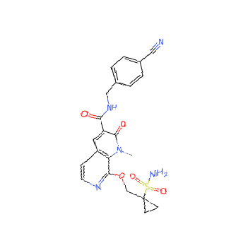 Cn1c(=O)c(C(=O)NCc2ccc(C#N)cc2)cc2ccnc(OCC3(S(N)(=O)=O)CC3)c21